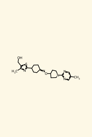 Cc1cnc(N2CCC(ON=C3CCC(c4nc(C)c(CO)s4)CC3)CC2)nc1